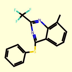 Cc1cccc2c(Sc3ccccc3)nc(C(F)(F)F)nc12